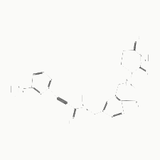 CN(Cc1cc(CNC(=O)C#Cc2cccc(N)c2)ccc1C=O)C1CCC(=O)NC1=O